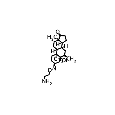 C=C1C[C@@H]2[C@@H](CC[C@]3(C)C(=O)CC[C@@H]23)[C@@]2(C)CCC(=NOCCN)CC12O